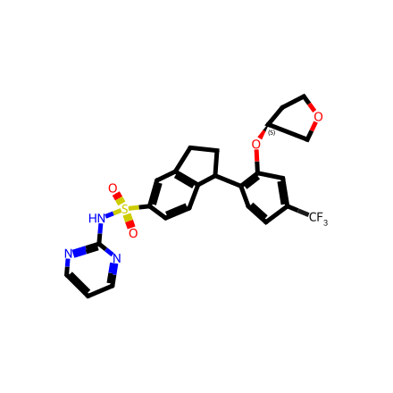 O=S(=O)(Nc1ncccn1)c1ccc2c(c1)CCC2c1ccc(C(F)(F)F)cc1O[C@H]1CCOC1